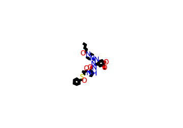 CCCCC(=O)N1CCN(c2nc(NC(=O)[C@@H]3CCCN3C(=O)C(C)CSC(=O)c3ccccc3)c3cc(OC)c(OC)cc3n2)CC1